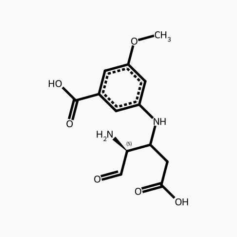 COc1cc(NC(CC(=O)O)[C@H](N)C=O)cc(C(=O)O)c1